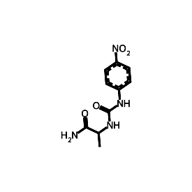 CC(NC(=O)Nc1ccc([N+](=O)[O-])cc1)C(N)=O